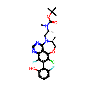 C[C@H](CN1c2ncnc3c(F)c(-c4c(O)cccc4F)c(Cl)c(c23)OC[C@@H]1C)N(C)C(=O)OC(C)(C)C